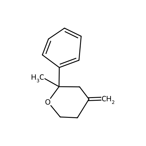 C=C1CCOC(C)(c2ccccc2)C1